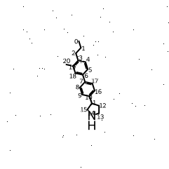 CCCc1ccc(-c2ccc(C3CCNC3)cc2)cc1C